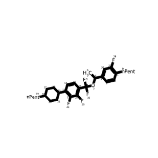 CCCCCc1ccc(C(C)OC(F)(F)c2ccc(C3CCC(CCCCC)CC3)c(F)c2F)cc1F